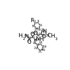 Cc1nc(-c2ccc(F)cc2)c(C(=O)N[C@@H](Cc2ccccc2)C(=O)C(N)=O)o1